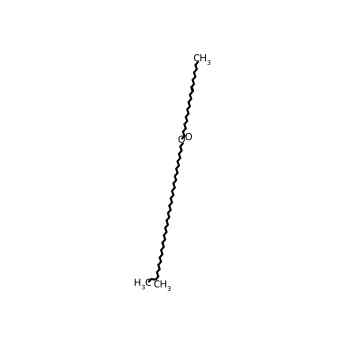 CCCCCCCCC=CCCCCCCCCCCCC(=O)OCCCCCCCCCCCCCCCCCCCCCCCCCCCCCCCCCCCCCC(C)CC